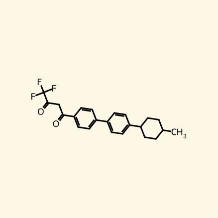 CC1CCC(c2ccc(-c3ccc(C(=O)CC(=O)C(F)(F)F)cc3)cc2)CC1